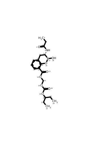 CCC(=O)N[C@H]1Cc2cccc(C(=O)OCOC(=O)OC(CC)CC)c2OB1O